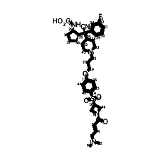 CN(C)C/C=C/C(=O)N1CC(S(=O)(=O)c2ccc(OCCCN3CCC([C@@](C#N)(c4cccc(F)c4)[C@H]4CCC[C@@H]4NC(=O)O)CC3)cc2)C1